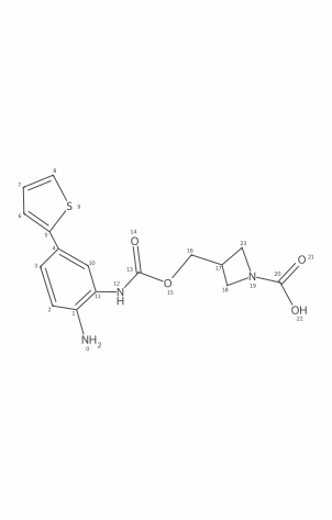 Nc1ccc(-c2cccs2)cc1NC(=O)OCC1CN(C(=O)O)C1